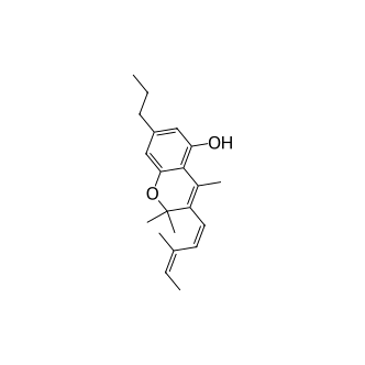 C/C=C(C)\C=C/C1=C(C)c2c(O)cc(CCC)cc2OC1(C)C